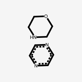 C1COCCN1.c1cnccn1